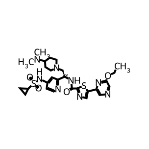 CCOc1cncc(-c2cnc(C(=O)N[C@H](CN3CCC(N(C)C)CC3)c3cc(NS(=O)(=O)C4CC4)ccn3)s2)n1